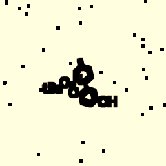 CC1CC[C@@H](c2cccc(O)c2)N(C(=O)OC(C)(C)C)C1